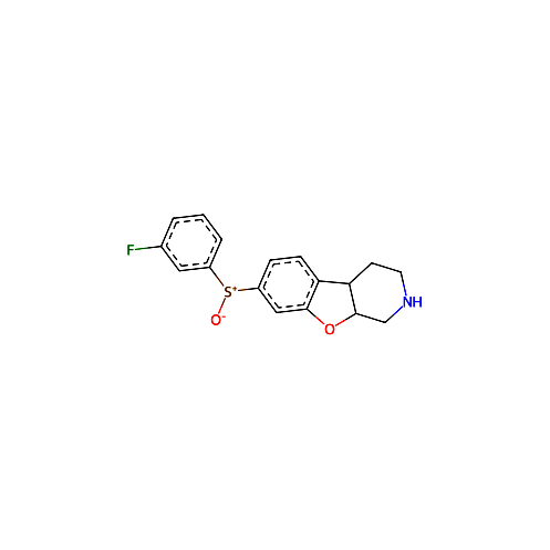 [O-][S+](c1cccc(F)c1)c1ccc2c(c1)OC1CNCCC21